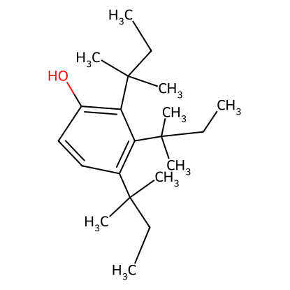 CCC(C)(C)c1ccc(O)c(C(C)(C)CC)c1C(C)(C)CC